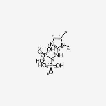 Cc1cnc(NC(P(=O)(O)O)P(=O)(O)O)n1C